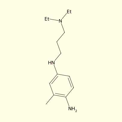 CCN(CC)CCCNc1ccc(N)c(C)c1